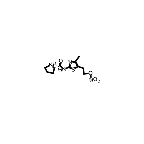 Cc1nc(NC(=O)[C@@H]2CCCN2)sc1CCO[N+](=O)[O-]